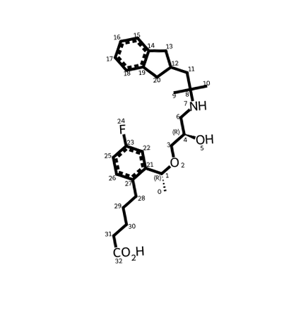 C[C@@H](OC[C@H](O)CNC(C)(C)CC1Cc2ccccc2C1)c1cc(F)ccc1CCCCC(=O)O